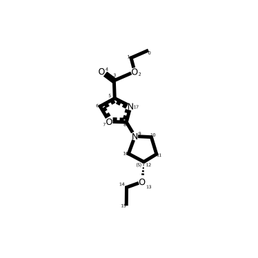 CCOC(=O)c1coc(N2CC[C@H](OCC)C2)n1